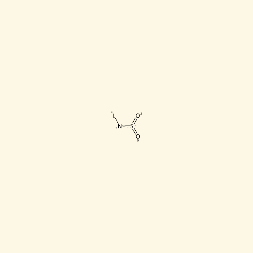 O=S(=O)=NI